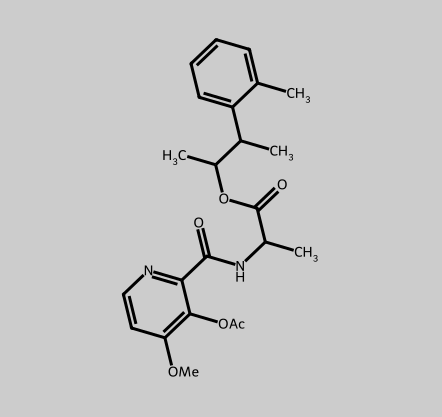 COc1ccnc(C(=O)NC(C)C(=O)OC(C)C(C)c2ccccc2C)c1OC(C)=O